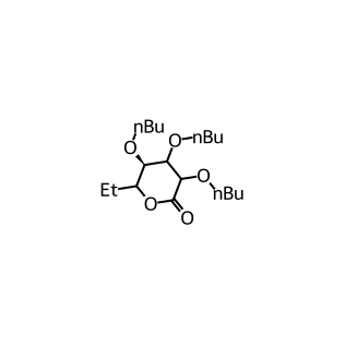 CCCCOC1C(=O)OC(CC)[C@@H](OCCCC)C1OCCCC